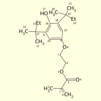 C=C(C)C(=O)OCCOc1cc(C(C)(C)CC)c(O)c(C(C)(C)CC)c1